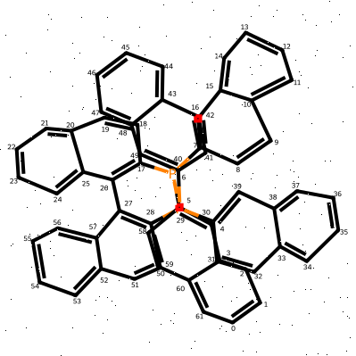 C1=CCC2C=C(P(c3ccc4ccccc4c3)c3ccc4ccccc4c3-c3c(P(c4ccc5ccccc5c4)c4ccc5ccccc5c4)ccc4ccccc34)C=CC2=C1